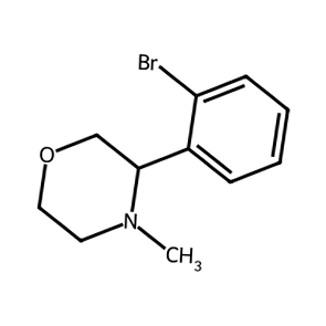 CN1CCOCC1c1ccccc1Br